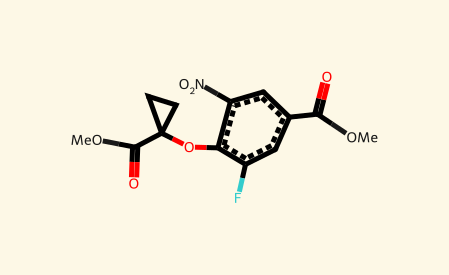 COC(=O)c1cc(F)c(OC2(C(=O)OC)CC2)c([N+](=O)[O-])c1